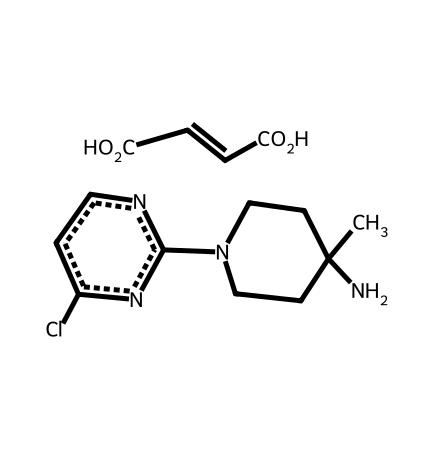 CC1(N)CCN(c2nccc(Cl)n2)CC1.O=C(O)C=CC(=O)O